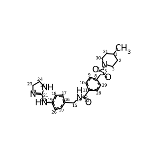 CC1CCN(S(=O)(=O)c2ccc(C(=O)NCc3ccc(NC4=NCCN4)cc3)cc2)CC1